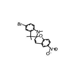 CN1c2ccc(Br)cc2C(C)(C)C12C=Cc1cc([N+](=O)[O-])ccc1O2